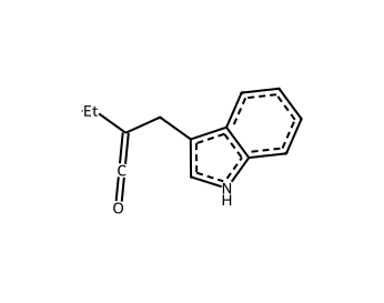 C[CH]C(=C=O)Cc1c[nH]c2ccccc12